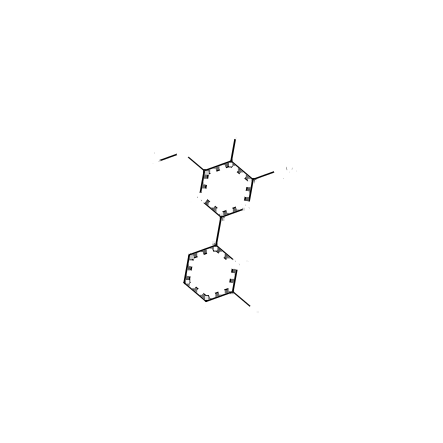 CCCc1cccc(-c2nc(OC)c(C(F)(F)F)c(OC(C)(C)C)n2)n1